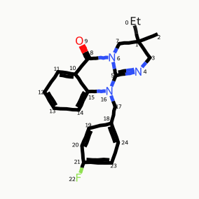 CCC1(C)CN=C2N(C1)C(=O)c1ccccc1N2Cc1ccc(F)cc1